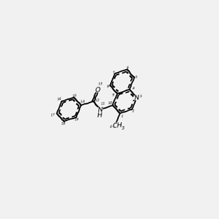 Cc1cnc2ccccc2c1NC(=O)c1ccccc1